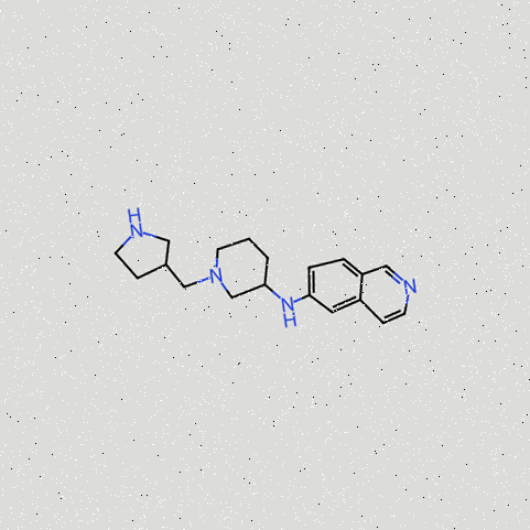 c1cc2cc(NC3CCCN(CC4CCNC4)C3)ccc2cn1